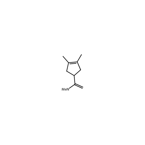 C=C(NC)C1CC(C)=C(C)C1